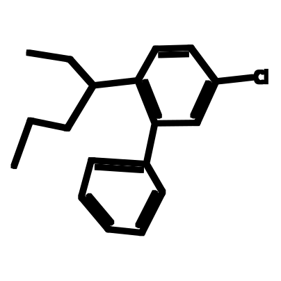 CCCC(CC)c1ccc(Cl)cc1-c1ccccc1